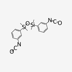 C[Si](C)(O[Si](C)(C)c1cccc(N=C=O)c1)c1cccc(N=C=O)c1